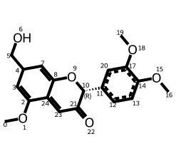 COC1=CC(CO)C=C2O[C@H](c3ccc(OC)c(OC)c3)C(=O)C=C12